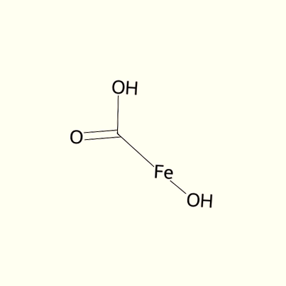 O=[C](O)[Fe][OH]